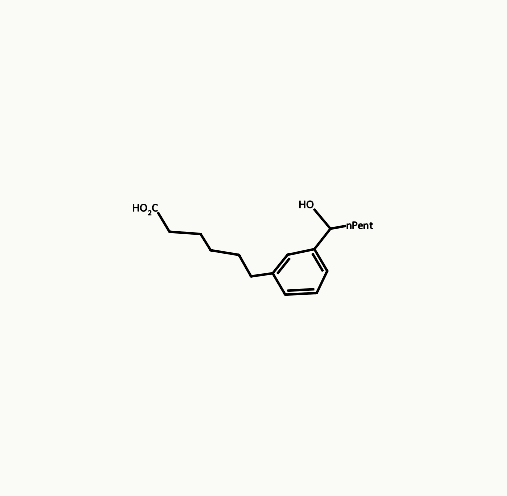 CCCCCC(O)c1cccc(CCCCCC(=O)O)c1